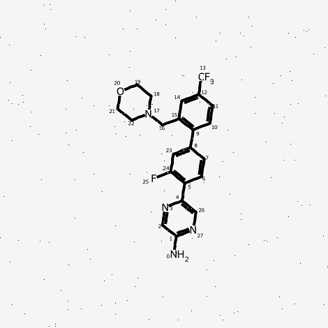 Nc1cnc(-c2ccc(-c3ccc(C(F)(F)F)cc3CN3CCOCC3)cc2F)cn1